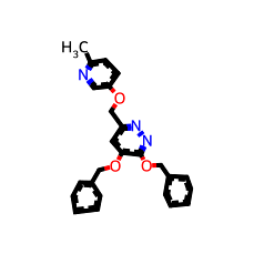 Cc1ccc(OCc2cc(OCc3ccccc3)c(OCc3ccccc3)nn2)cn1